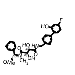 COC[C@H](c1ccccc1)N(C)C(=O)[C@H](O)[C@@H](O)C(=O)NCc1ccc(-c2ccc(F)cc2O)cc1